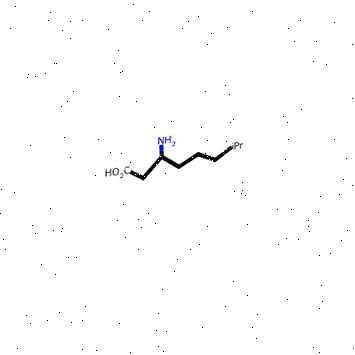 CC(C)CCCC(N)CC(=O)O